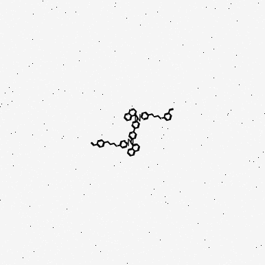 C=Cc1ccc(CCCCc2ccc(N(c3ccc(-c4ccc(N(c5ccc(CCCCc6cccc(C=C)c6)cc5)c5cccc6ccccc56)cc4)cc3)c3cccc4ccccc34)cc2)cc1